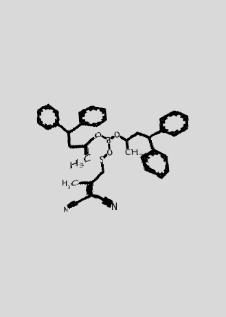 CC(CSOB(OC(C)CC(c1ccccc1)c1ccccc1)OC(C)CC(c1ccccc1)c1ccccc1)=C(C#N)C#N